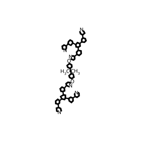 CC(C)(c1ccc(Oc2ccc(-c3cccc(-c4cc(-c5cccc(-c6ccncc6)c5)cc(-c5cccc(-c6cccnc6)c5)c4)c3)cn2)cc1)c1ccc(Oc2ccc(-c3cccc(-c4cc(-c5cccc(-c6ccncc6)c5)cc(-c5cccc(-c6cccnc6)c5)c4)c3)cn2)cc1